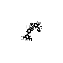 COC(=O)c1cc(S(=O)(=O)Nc2ccc(-c3cc(Cl)cc(Cl)c3)cc2)ccc1C